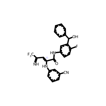 N#Cc1cccc(N/C(=C\C(=N)C(F)(F)F)C(=O)Nc2ccc(F)c(C(O)c3ccccc3)c2)c1